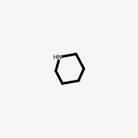 [CH]1C[CH]NCC1